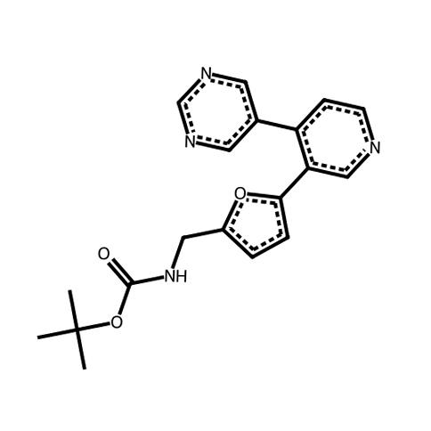 CC(C)(C)OC(=O)NCc1ccc(-c2cnccc2-c2cncnc2)o1